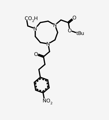 CC(C)(C)OC(=O)CN1CCN(CC(=O)O)CCN(CC(=O)CCc2ccc([N+](=O)[O-])cc2)CC1